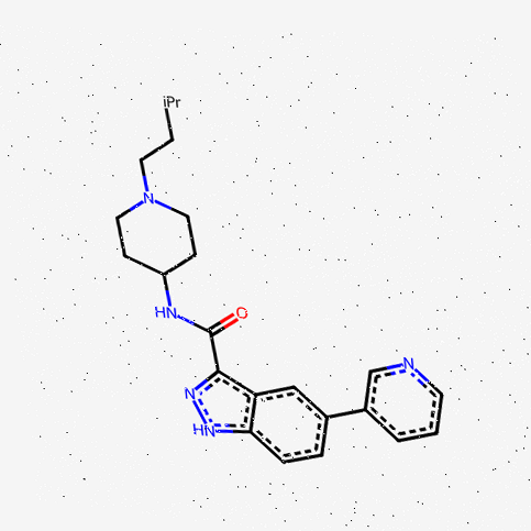 CC(C)CCN1CCC(NC(=O)c2n[nH]c3ccc(-c4cccnc4)cc23)CC1